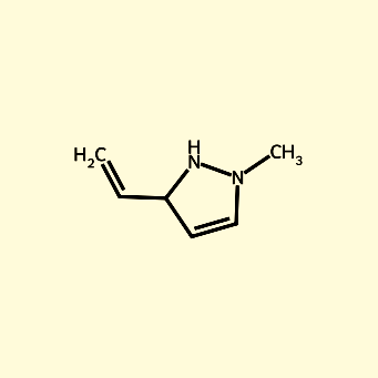 C=CC1C=CN(C)N1